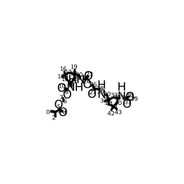 C=C(C)C(=O)OCCOC(=O)NC1CC(C)(C)CC(C)(CNC(=O)OCC(=O)CNCC2(C)CC(NC(=O)OC)CC(C)(C)C2)C1